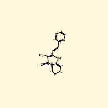 Cc1c(/C=C/c2ccccc2)[nH]c2c(c1=O)=CCCC=2